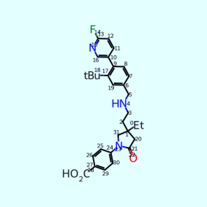 CCC1(CCNCc2ccc(-c3ccc(F)nc3)c(C(C)(C)C)c2)CC(=O)N(c2ccc(C(=O)O)cc2)C1